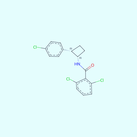 O=C(N[C@H]1CC[C@H]1c1ccc(Cl)cc1)c1c(Cl)cccc1Cl